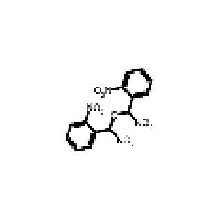 O=[N+]([O-])c1ccccc1C(OC(c1ccccc1[N+](=O)[O-])[N+](=O)[O-])[N+](=O)[O-]